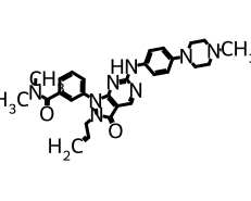 C=CCn1c(=O)c2cnc(Nc3ccc(N4CCN(C)CC4)cc3)nc2n1-c1cccc(C(=O)N(C)C)c1